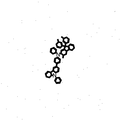 CC1C=C(C2(C3=CC(C)CC=C3)C3=CC(N(c4ccc(C5=CC6C7C=CCCC7N(c7ccccc7)C6C=C5)cc4)C4C=CC=CC4)C(C)CC3C3=C2C=CCC3)C=CC1